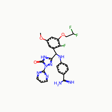 COc1cc(OCC(F)F)c(F)c(C(Nc2ccc(C(=N)N)cc2)c2nn(-c3ncccn3)c(=O)[nH]2)c1